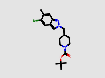 Cc1cc2nn(CC3CCN(C(=O)OC(C)(C)C)CC3)cc2cc1Br